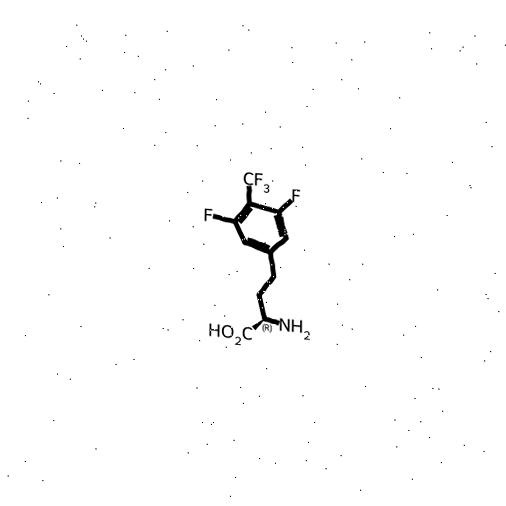 N[C@H](CCc1cc(F)c(C(F)(F)F)c(F)c1)C(=O)O